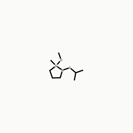 CO[Si]1(C)CCCN1SC(C)C